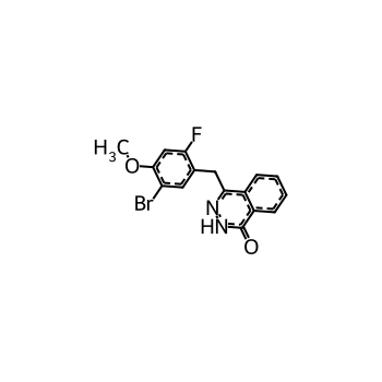 COc1cc(F)c(Cc2n[nH]c(=O)c3ccccc23)cc1Br